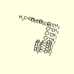 C=CC=C.C=CC=C.C=CC=C.C=CC=C.C=CC=C.C=CC=C.C=Cc1ccccc1.C=Cc1ccccc1.C=Cc1ccccc1.C=Cc1ccccc1.C=Cc1ccccc1.C=Cc1ccccc1